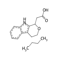 CCCC.O=C(O)CC1OCCc2c1[nH]c1ccccc21